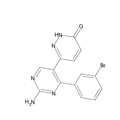 Nc1ncc(-c2ccc(=O)[nH]n2)c(-c2cccc(Br)c2)n1